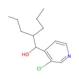 CCCC(CCC)C(O)c1ccncc1Cl